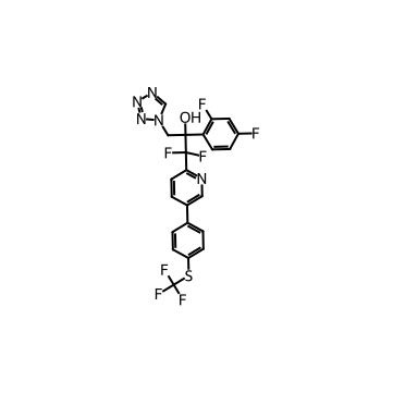 OC(Cn1cnnn1)(c1ccc(F)cc1F)C(F)(F)c1ccc(-c2ccc(SC(F)(F)F)cc2)cn1